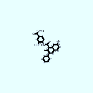 COC(=O)c1ccc(NC(=O)c2c(C)c(-c3ccccc3)cc3ccc(Br)cc23)c(O)c1